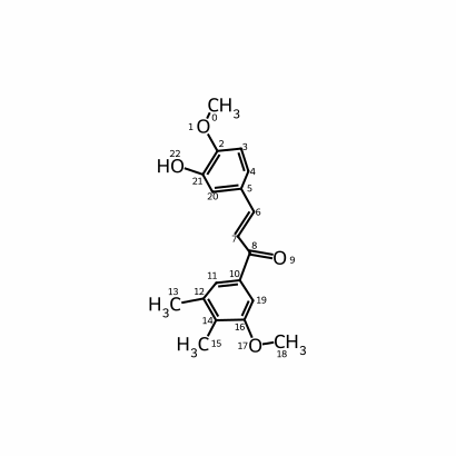 COc1ccc(/C=C/C(=O)c2cc(C)c(C)c(OC)c2)cc1O